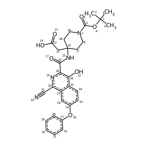 CC(C)(C)OC(=O)N1CCC(CC(=O)O)(NC(=O)c2nc(C#N)c3cc(Oc4ccccc4)ccc3c2O)CC1